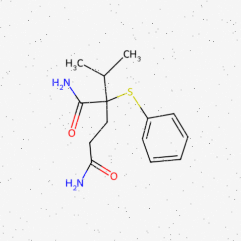 CC(C)C(CCC(N)=O)(Sc1ccccc1)C(N)=O